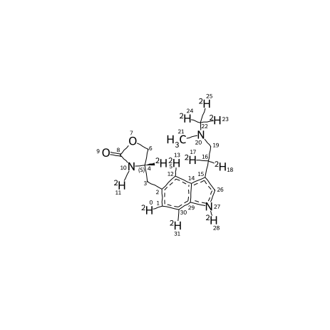 [2H]c1c(C[C@@]2([2H])COC(=O)N2[2H])c([2H])c2c(C([2H])([2H])CN(C)C([2H])([2H])[2H])cn([2H])c2c1[2H]